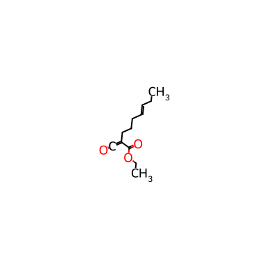 CCC=CCCCC(=C=O)C(=O)OCC